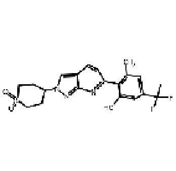 Cc1cc(C(F)(F)F)cc(O)c1-c1ccc2cn(C3CCS(=O)(=O)CC3)nc2n1